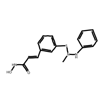 CN(Nc1ccccc1)Sc1cccc(/C=C/C(=O)NO)c1